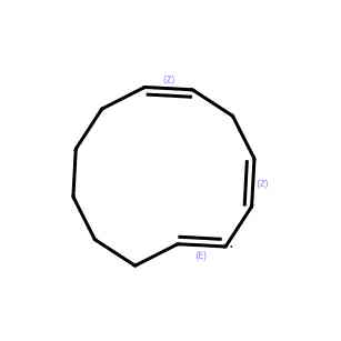 [C]1=C/CCCCC/C=C\C\C=C/1